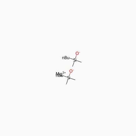 CCCC[Si](C)(C)[O-].CCCC[Si](C)(C)[O-].[Mg+2]